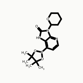 CC1(C)OB(c2ccnc3c2[nH]c(=O)n3C2CCCCO2)OC1(C)C